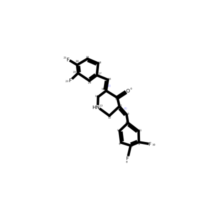 O=C1/C(=C/c2ccc(F)c(F)c2)CNC/C1=C\c1ccc(F)c(F)c1